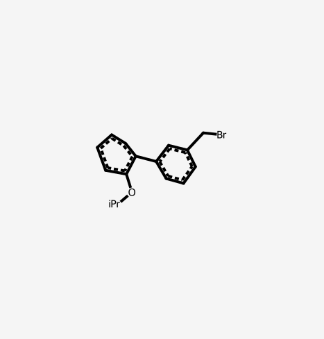 CC(C)Oc1ccccc1-c1cccc(CBr)c1